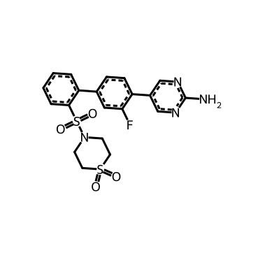 Nc1ncc(-c2ccc(-c3ccccc3S(=O)(=O)N3CCS(=O)(=O)CC3)cc2F)cn1